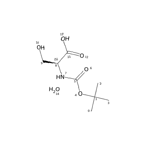 CC(C)(C)OC(=O)N[C@@H](CO)C(=O)O.O